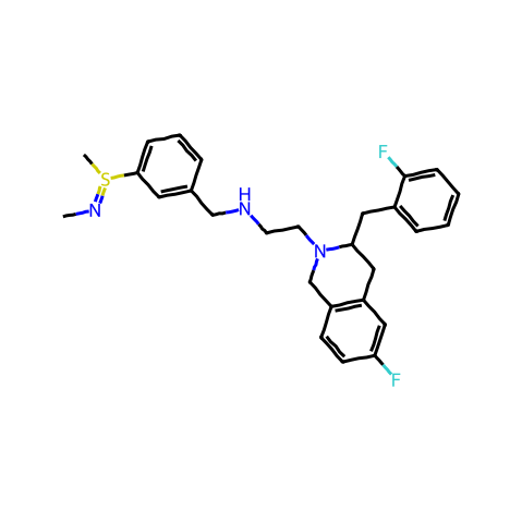 CN=S(C)c1cccc(CNCCN2Cc3ccc(F)cc3CC2Cc2ccccc2F)c1